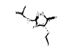 CCC[C@H](NC(=O)OC(C)C)C(=O)O